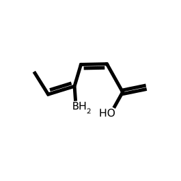 BC(/C=C\C(=C)O)=C/C